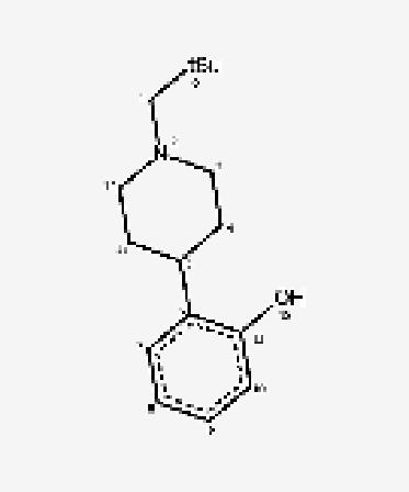 CC(C)(C)CN1CCC(c2ccccc2O)CC1